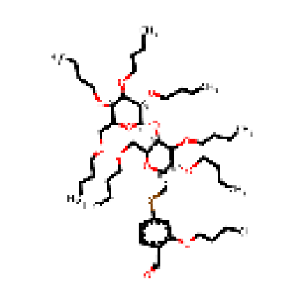 CCCCOCC1O[C@@H](O[C@@H]2C(COCCCC)O[C@@H](CSc3ccc(C=O)c(OCCCC)c3)[C@@H](OCCCC)C2OCCCC)[C@@H](OCCCC)C(OCCCC)[C@@H]1OCCCC